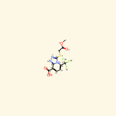 COC(=O)CSc1nnc2c(C(=O)O)ccc(C(F)(F)F)n12